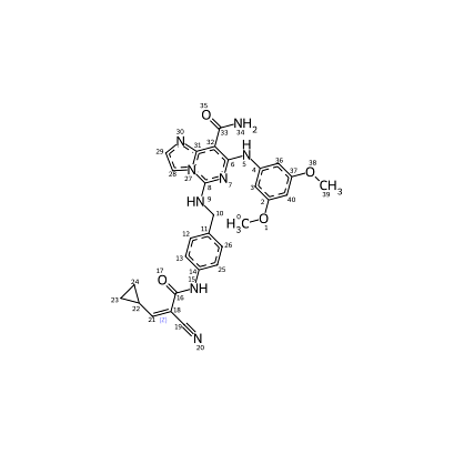 COc1cc(Nc2nc(NCc3ccc(NC(=O)/C(C#N)=C\C4CC4)cc3)n3ccnc3c2C(N)=O)cc(OC)c1